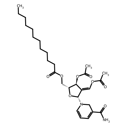 CCCCCCCCCCCC(=O)OC[C@H]1O[C@@H](N2C=CC=C(C(N)=O)C2)/C(=C/OC(C)=O)[C@@H]1OC(C)=O